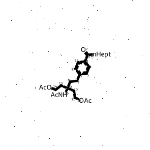 CCCCCCCC(=O)c1ccc(CCC(CCOC(C)=O)(CCOC(C)=O)NC(C)=O)cc1